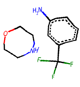 C1COCCN1.Nc1cccc(C(F)(F)F)c1